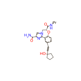 CC(C)NC(=O)[C@@H]1Cn2cc(C(N)=O)nc2-c2cc(C#CC3(O)CCCC3)ccc2O1